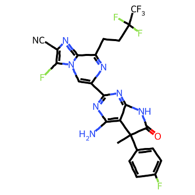 CC1(c2ccc(F)cc2)C(=O)Nc2nc(-c3cn4c(F)c(C#N)nc4c(CCC(F)(F)C(F)(F)F)n3)nc(N)c21